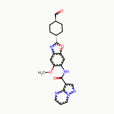 COc1cc2nc([C@H]3CC[C@H](C=O)CC3)oc2cc1NC(=O)c1cnn2cccnc12